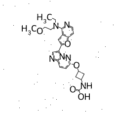 CCN(CCOC)c1nccc2oc(-c3cnc4ccc(OC5CC(NC(=O)O)C5)nn34)cc12